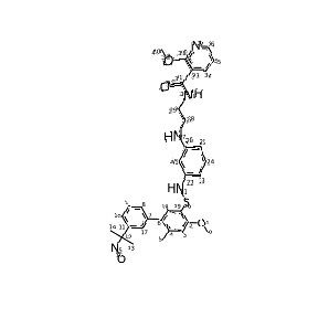 COc1cc(C)c(-c2cccc(C(C)(C)N=O)c2)cc1SNc1cccc(NCCNC(=O)c2cccnc2OC)c1